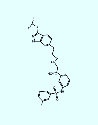 O=S(=O)(Nc1cccc([C@@H](O)CNCCOc2ccc3c(OC(F)F)n[nH]c3c2)c1)c1cccc(F)c1